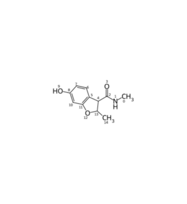 CNC(=O)C1c2ccc(O)cc2OC1C